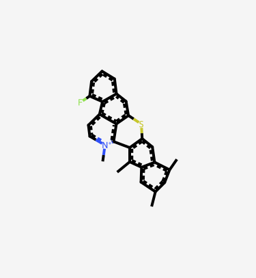 Cc1cc(C)c2cc3c(c(C)c2c1)-c1c2c(cc4cccc(F)c4c2cc[n+]1C)S3